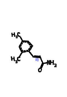 Cc1ccc(/C=C/C(N)=O)c(C)c1